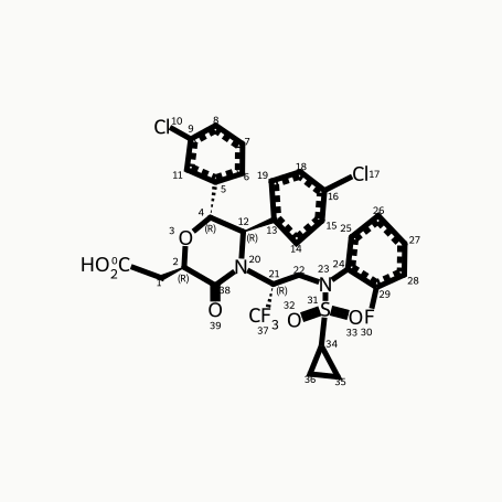 O=C(O)C[C@H]1O[C@H](c2cccc(Cl)c2)[C@@H](c2ccc(Cl)cc2)N([C@H](CN(c2ccccc2F)S(=O)(=O)C2CC2)C(F)(F)F)C1=O